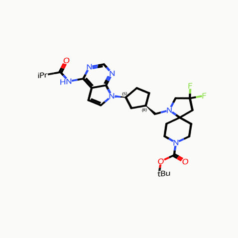 CC(C)C(=O)Nc1ncnc2c1ccn2[C@H]1CC[C@@H](CN2CC(F)(F)CC23CCN(C(=O)OC(C)(C)C)CC3)C1